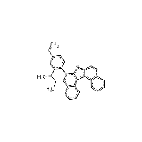 C=Cc1ccc(-c2cc3ccccc3c3c2sc2ccc4ccccc4c23)c(C(C)CC)c1